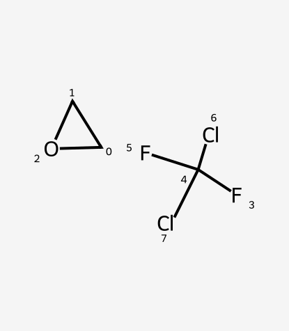 C1CO1.FC(F)(Cl)Cl